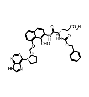 O=Cc1c(NC(=O)[C@H](CCC(=O)O)NC(=O)OCc2ccccc2)ccc2cccc(OC[C@H]3CCCN3c3ncnc4[nH]cnc34)c12